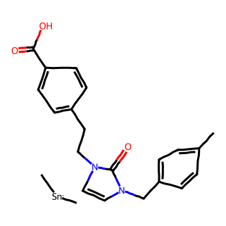 Cc1ccc(Cn2ccn(CCc3ccc(C(=O)O)cc3)c2=O)cc1.[CH3][Sn][CH3]